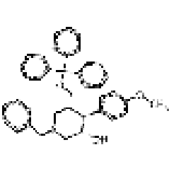 COc1ccc([C@@H]2[C@@H](COC(c3ccccc3)(c3ccccc3)c3ccccc3)CN(Cc3ccccc3)C[C@H]2O)cc1